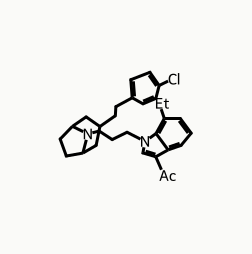 CCc1cccc2c(C(C)=O)cn(CCCN3C4CCC3CC(CCc3ccc(Cl)cc3)C4)c12